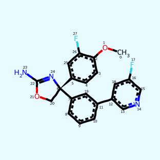 COc1ccc([C@@]2(c3cccc(-c4cncc(F)c4)c3)COC(N)=N2)cc1F